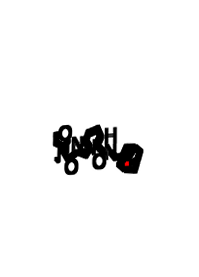 CN(C(=O)c1cn2c(C(=O)NCC34CC5CC(CC(C5)C3)C4)cccc2n1)C1CCOC1